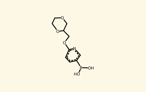 OB(O)c1ccc(OCC2COCCO2)nc1